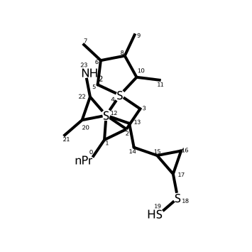 CCCC1C2CS3(CC(C)C(C)C3C)S123(CCC1CC1SS)C(C)C3N